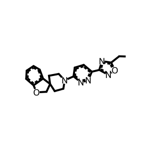 CCc1nc(-c2ccc(N3CCC4(CC3)COc3ccccc34)nn2)no1